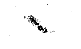 CCCCCCCCc1cnc(-c2ccc(OC(F)C(F)(F)C(F)(F)C(F)(F)C(F)(F)C(F)(F)C(F)(F)C(F)(F)F)cc2)nc1